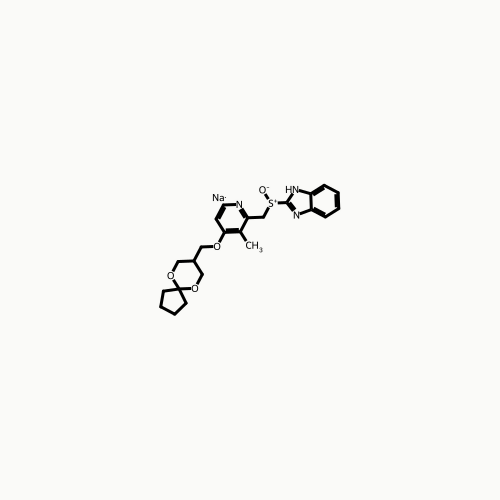 Cc1c(OCC2COC3(CCCC3)OC2)ccnc1C[S+]([O-])c1nc2ccccc2[nH]1.[Na]